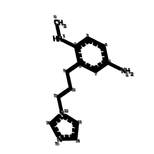 CNc1ccc(N)cc1CCCn1ccnc1